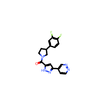 O=C(c1cc(-c2ccnnc2)n[nH]1)N1CCC(c2ccc(F)c(F)c2)C1